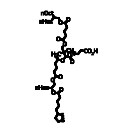 CCCCCCCCC(CCCCCC)COC(=O)CCCC(=O)OCC(C)(C)C(OC(=O)CCCC(=O)OCC(CCCCCC)OC(=O)CCCCC1CCSS1)C(=O)NCCC(=O)O